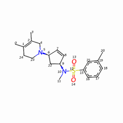 CC1=C(C)CN([C@H]2C=C[C@@H](N(C)S(=O)(=O)c3cccc(C)c3)C2)CC1